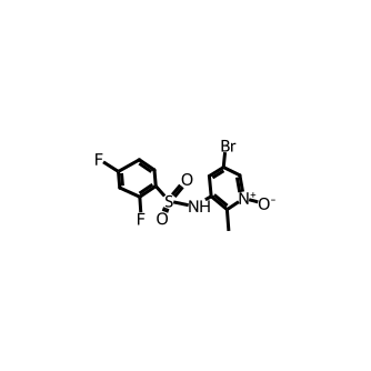 Cc1c(NS(=O)(=O)c2ccc(F)cc2F)cc(Br)c[n+]1[O-]